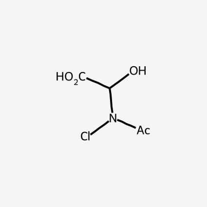 CC(=O)N(Cl)C(O)C(=O)O